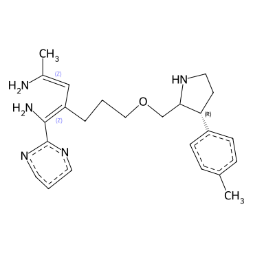 C/C(N)=C/C(CCCOCC1NCC[C@@H]1c1ccc(C)cc1)=C(\N)c1ncccn1